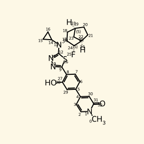 Cn1ccc(-c2ccc(-c3nnc(N(C4CC4)[C@@H]4C[C@H]5CC[C@H](C5)[C@@H]4F)s3)c(O)c2)cc1=O